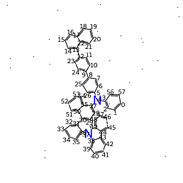 c1ccc(N(c2ccc(-c3ccc(-c4cccc5ccccc45)cc3)cc2)c2ccc(-c3ccccc3-n3c4ccccc4c4ccccc43)c3ccccc23)cc1